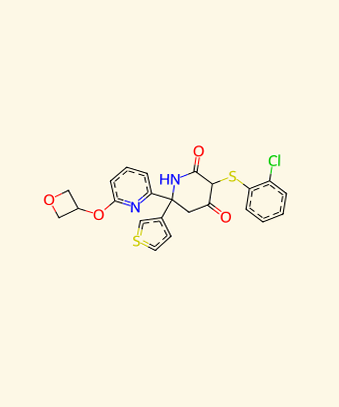 O=C1CC(c2ccsc2)(c2cccc(OC3COC3)n2)NC(=O)C1Sc1ccccc1Cl